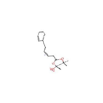 CC1(C)OB(C/C=C\Cc2ccccc2)OC1(C)O